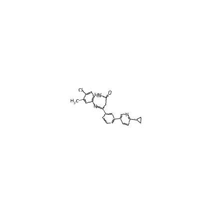 Cc1cc2c(cc1Cl)NC(=O)CC(c1cccc(-c3ccc(C4CC4)nc3)c1)=N2